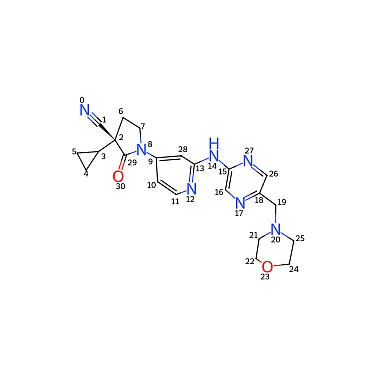 N#C[C@@]1(C2CC2)CCN(c2ccnc(Nc3cnc(CN4CCOCC4)cn3)c2)C1=O